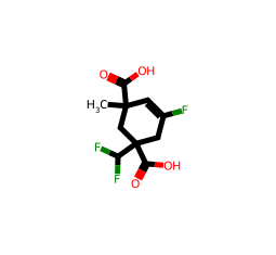 CC1(C(=O)O)C=C(F)CC(C(=O)O)(C(F)F)C1